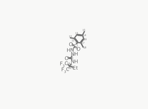 CCC(NC(=O)NNS(=O)(=O)c1c(C)cc(C)cc1C)(C(F)(F)F)C(F)(F)F